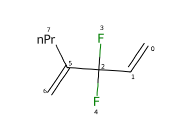 C=CC(F)(F)C(=C)CCC